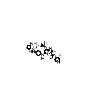 N[C@H]1CCC[C@H]1C(=O)NC1CCC(Nc2cc(NC3CC3)c3ncc(C(=O)Nc4ccncc4F)n3n2)CC1